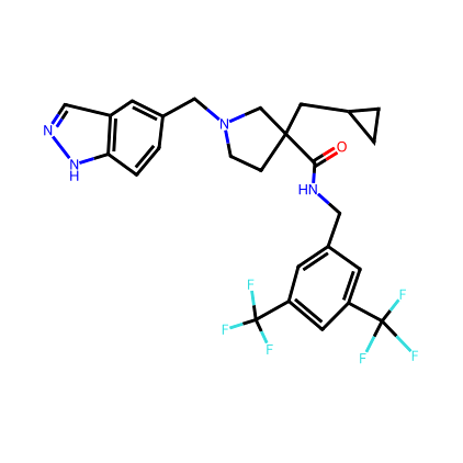 O=C(NCc1cc(C(F)(F)F)cc(C(F)(F)F)c1)C1(CC2CC2)CCN(Cc2ccc3[nH]ncc3c2)C1